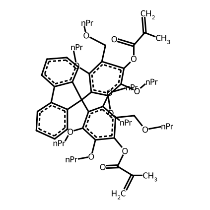 C=C(C)C(=O)Oc1c(COCCC)c(OCCC)c(C2(c3c(OCCC)c(COCCC)c(OC(=O)C(=C)C)c(OCCC)c3OCCC)c3ccccc3-c3ccccc32)c(OCCC)c1OCCC